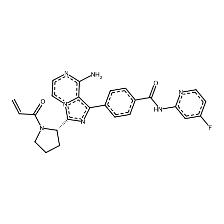 C=CC(=O)N1CCC[C@H]1c1nc(-c2ccc(C(=O)Nc3cc(F)ccn3)cc2)c2c(N)nccn12